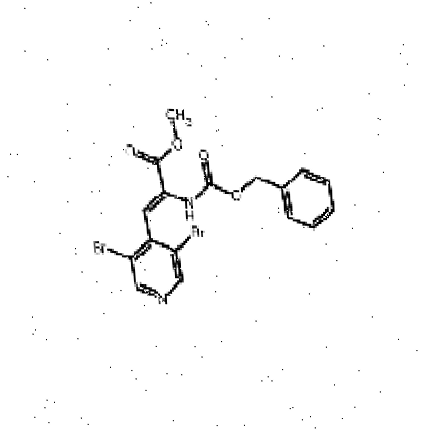 COC(=O)C(=Cc1c(Br)cncc1Br)NC(=O)OCc1ccccc1